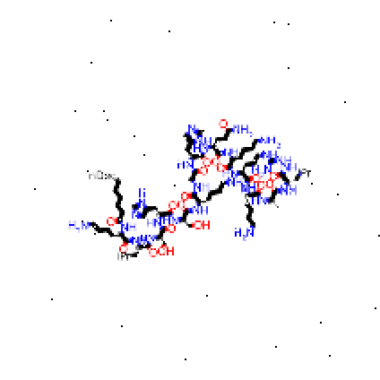 CCCCCCCCCCCCCCCC(=O)N[C@@H](CCCCN)C(=O)N[C@@H](CC(C)C)C(=O)N[C@@H](CO)C(=O)N[C@@H](Cc1cnc[nH]1)C(=O)N[C@@H](CO)C(=O)N[C@@H](CCCCN)C(=O)NCC(=O)N[C@@H](Cc1cnc[nH]1)C(=O)N[C@@H](CCC(N)=O)C(=O)N[C@@H](CCCCN)C(=O)N[C@@H](CCCNC(=N)N)C(=O)N[C@@H](CCCCN)C(=O)N[C@@H](C)C(=O)N[C@@H](CC(C)C)C(N)=O